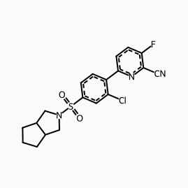 N#Cc1nc(-c2ccc(S(=O)(=O)N3CC4CCCC4C3)cc2Cl)ccc1F